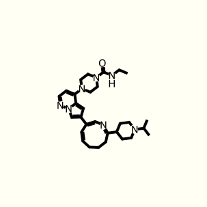 CCNC(=O)N1CCN(c2ccnn3cc(C4=C/N=C(/C5CCN(C(C)C)CC5)CCC/C=C\4)cc23)CC1